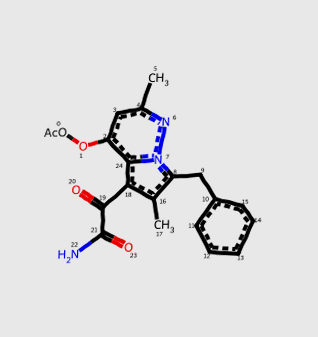 CC(=O)OOc1cc(C)nn2c(Cc3ccccc3)c(C)c(C(=O)C(N)=O)c12